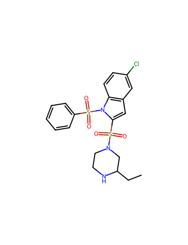 CCC1CN(S(=O)(=O)c2cc3cc(Cl)ccc3n2S(=O)(=O)c2ccccc2)CCN1